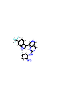 NC1CCC(F)CC1Nc1ncc2cncc(-c3c[nH]c4cc(C(F)(F)F)ccc34)c2n1